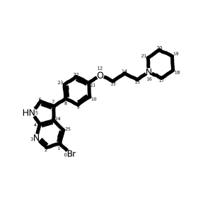 Brc1cnc2[nH]cc(-c3ccc(OCCCN4CCCCC4)cc3)c2c1